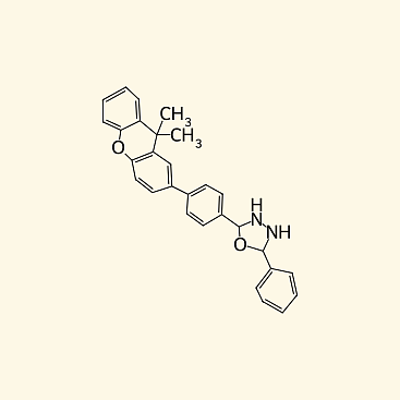 CC1(C)c2ccccc2Oc2ccc(-c3ccc(C4NNC(c5ccccc5)O4)cc3)cc21